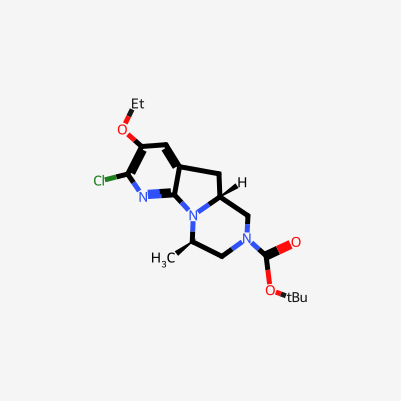 CCOc1cc2c(nc1Cl)N1[C@H](C2)CN(C(=O)OC(C)(C)C)C[C@H]1C